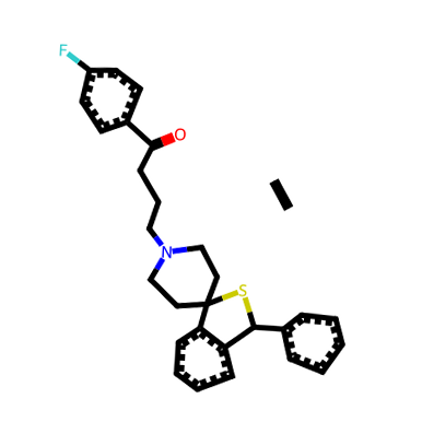 C=C.O=C(CCCN1CCC2(CC1)SC(c1ccccc1)c1ccccc12)c1ccc(F)cc1